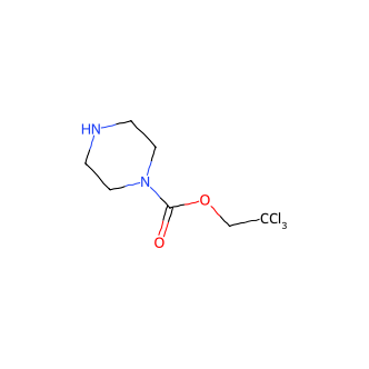 O=C(OCC(Cl)(Cl)Cl)N1CCNCC1